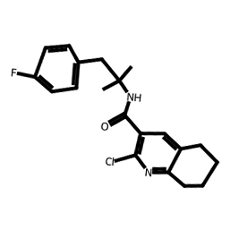 CC(C)(Cc1ccc(F)cc1)NC(=O)c1cc2c(nc1Cl)CCCC2